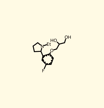 CCN1CCCC1c1cc(F)ccc1OCC(O)CO